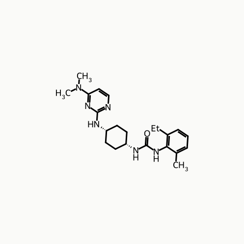 CCc1cccc(C)c1NC(=O)N[C@H]1CC[C@@H](Nc2nccc(N(C)C)n2)CC1